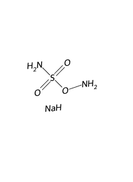 NOS(N)(=O)=O.[NaH]